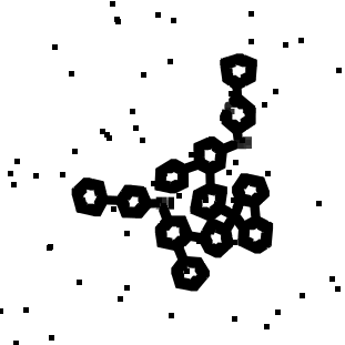 c1ccc(-c2ccc(Nc3ccc(-c4ccccc4)c(-c4cccc(C5(c6cccc(-c7cc(Nc8ccc(-c9ccccc9)cc8)ccc7-c7ccccc7)c6)c6ccccc6-c6ccccc65)c4)c3)cc2)cc1